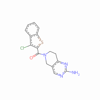 Nc1ncc2c(n1)CCN(C(=O)c1sc3ccccc3c1Cl)C2